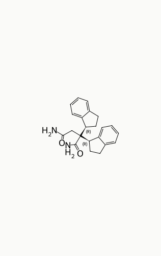 NC(=O)CC(C(N)=O)([C@@H]1CCc2ccccc21)[C@@H]1CCc2ccccc21